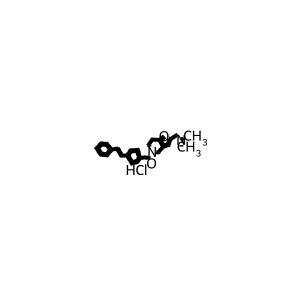 CN(C)Cc1cc2c(o1)CCN(C(=O)c1ccc(C=Cc3ccccc3)cc1)C2.Cl